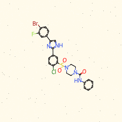 O=C(Nc1ccccc1)N1CCN(S(=O)(=O)c2cc(-c3nc(-c4ccc(Br)c(F)c4)c[nH]3)ccc2Cl)CC1